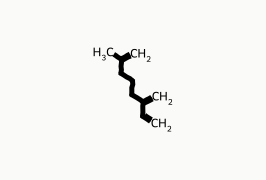 C=CC(=C)CCCC(=C)C